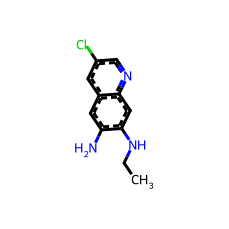 CCNc1cc2ncc(Cl)cc2cc1N